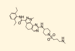 CCc1cccc(CC)c1NC(=O)c1nn(C)c2c1CCc1cnc(NC3CCN(S(=O)(=O)CCCNC)CC3)nc1-2